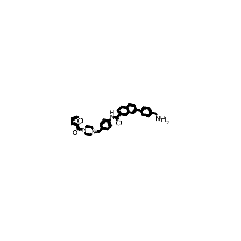 NCc1ccc(-c2ccc3c(c2)C=C(C(=O)Nc2ccc(CN4CCN(C(=O)c5ccco5)CC4)cc2)CC3)cc1